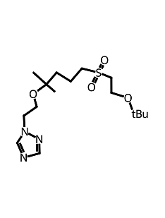 CC(C)(C)OCCS(=O)(=O)CCCC(C)(C)OCCn1cncn1